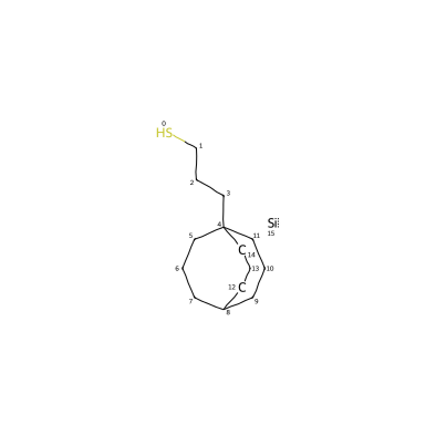 SCCCC12CCCC(CCC1)CCC2.[Si]